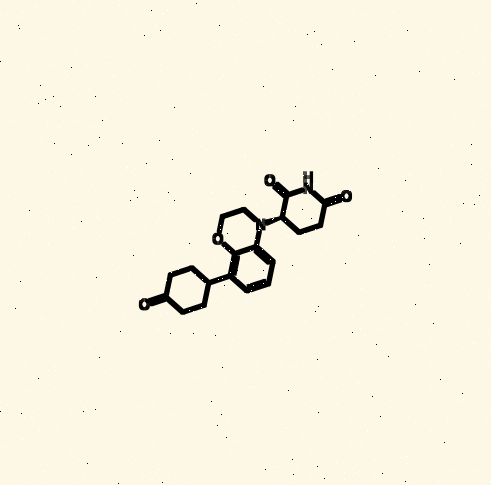 O=C1CCC(c2cccc3c2OCCN3[C@@H]2CCC(=O)NC2=O)CC1